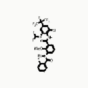 CCN(C(=O)c1ccccc1F)c1cccc(C(=O)Nc2c(Cl)cc(C(F)(C(F)(F)F)C(F)(F)F)cc2OC(F)F)c1OC